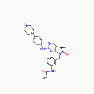 C=CC(=O)Nc1cccc(CN2C(=O)C(C)(C)c3cnc(Nc4ccc(N5CCN(C)CC5)cc4)nc32)c1